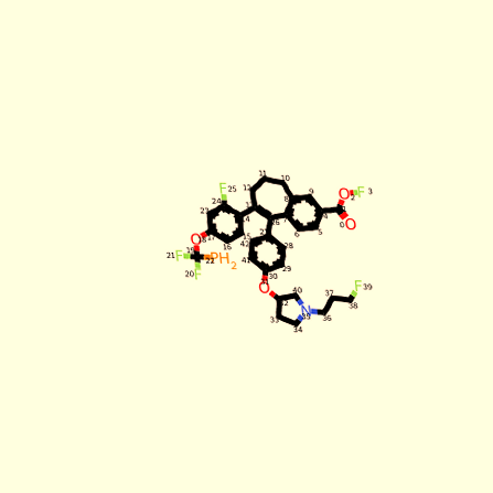 O=C(OF)c1ccc2c(c1)CCCC(c1ccc(OC(F)(F)P)cc1F)=C2c1ccc(OC2CCN(CCCF)C2)cc1